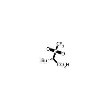 CC[C@@H](C)C(C(=O)O)S(=O)(=O)C(F)(F)F